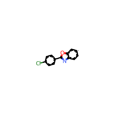 Clc1ccc(-c2nc3cc[c]cc3o2)cc1